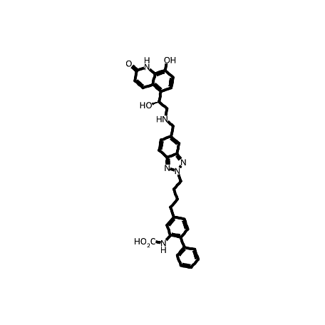 O=C(O)Nc1cc(CCCCn2nc3ccc(CNC[C@@H](O)c4ccc(O)c5[nH]c(=O)ccc45)cc3n2)ccc1-c1ccccc1